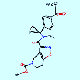 COC(=O)c1ccc(C2(N(C)C(=O)c3noc4c3CN(C(=O)OC(C)(C)C)CC4)CC2)cc1